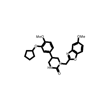 COc1ccc2oc(CN3CC(c4ccc(OC)c(OC5CCCC5)c4)CNC3=O)nc2c1